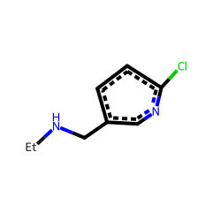 CCNCc1ccc(Cl)nc1